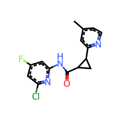 Cc1ccnc(C2CC2C(=O)Nc2cc(F)cc(Cl)n2)c1